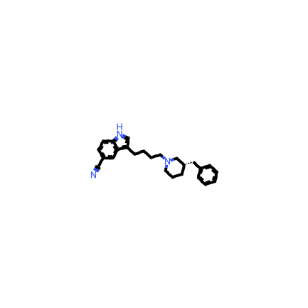 N#Cc1ccc2[nH]cc(CCCCN3CCC[C@@H](Cc4ccccc4)C3)c2c1